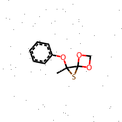 CC1(Oc2ccccc2)SC12OCO2